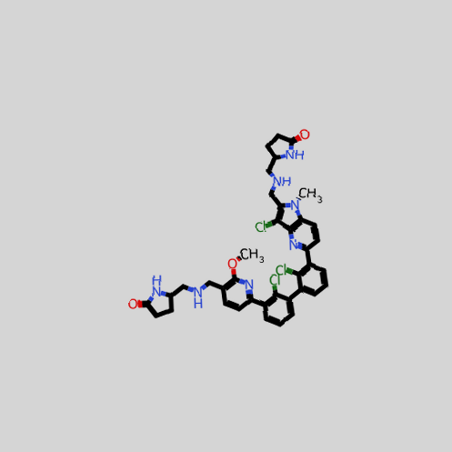 COc1nc(-c2cccc(-c3cccc(-c4ccc5c(n4)c(Cl)c(CNCC4CCC(=O)N4)n5C)c3Cl)c2Cl)ccc1CNCC1CCC(=O)N1